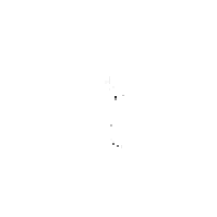 CC(=CCCCNCC=N)C(C)(N)C(=O)O